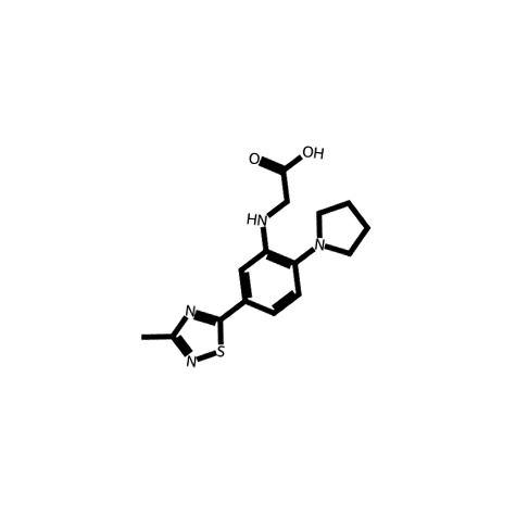 Cc1nsc(-c2ccc(N3CCCC3)c(NCC(=O)O)c2)n1